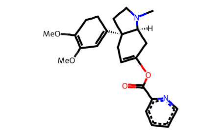 COC1=C(OC)CCC([C@@]23CC=C(OC(=O)c4ccccn4)C[C@@H]2N(C)CC3)=C1